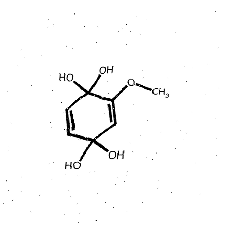 COC1=CC(O)(O)C=CC1(O)O